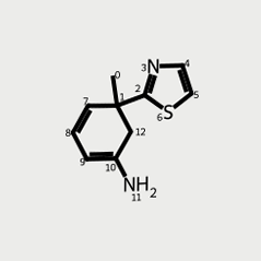 CC1(c2nccs2)C=CC=C(N)C1